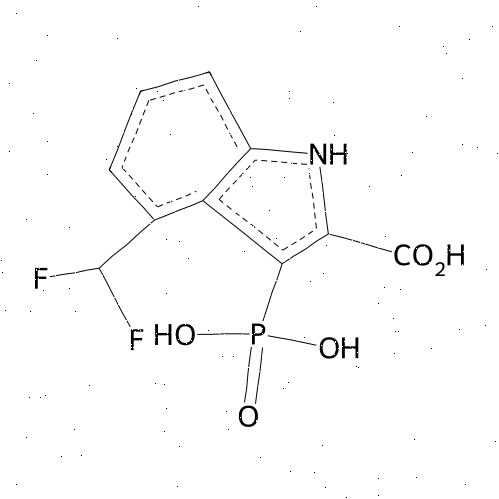 O=C(O)c1[nH]c2cccc(C(F)F)c2c1P(=O)(O)O